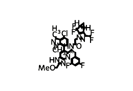 COCc1nc2nc([C@H](Cc3cc(F)cc(F)c3)NC(=O)Cn3nc(C(F)F)c4c3C(F)(F)[C@@H]3C[C@H]43)c(-c3ccc(Cl)c4c(C)nn(C)c34)cc2[nH]1